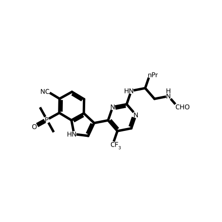 CCCC(CNC=O)Nc1ncc(C(F)(F)F)c(-c2c[nH]c3c(P(C)(C)=O)c(C#N)ccc23)n1